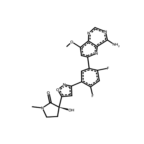 COc1cc(-c2cc(-c3cc([C@]4(O)CCN(C)C4=O)on3)c(F)cc2F)nc2c(N)ncnc12